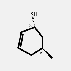 C[C@H]1CC=C[C@H](S)C1